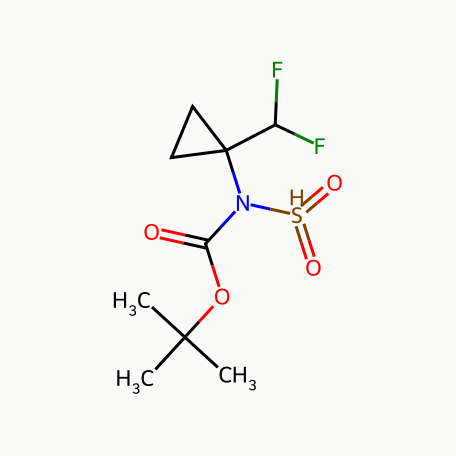 CC(C)(C)OC(=O)N([SH](=O)=O)C1(C(F)F)CC1